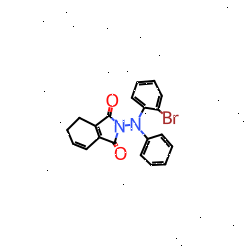 O=C1C2=C(CCC=C2)C(=O)N1N(c1ccccc1)c1ccccc1Br